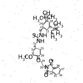 COc1cc(CNC(=S)NCc2cc(C(C)(C)C)cc(C(C)(C)C)c2)ccc1OCCN1C(=O)c2ccccc2C1=O